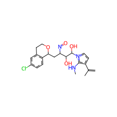 C=C(C)c1ccn(C(O)C(O)C(CC2OCCc3cc(Cl)ccc32)N=O)c1NC